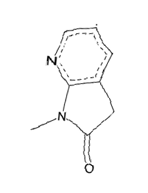 CN1C(=O)Cc2c[c]cnc21